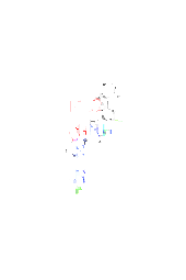 Cc1cc(=O)n([C@@H](CC(C)C)C(=O)N[C@@H](CC(=O)O)c2cc(-c3c(C)cccc3C)cc(F)c2F)nc1CCN1CC(F)C1